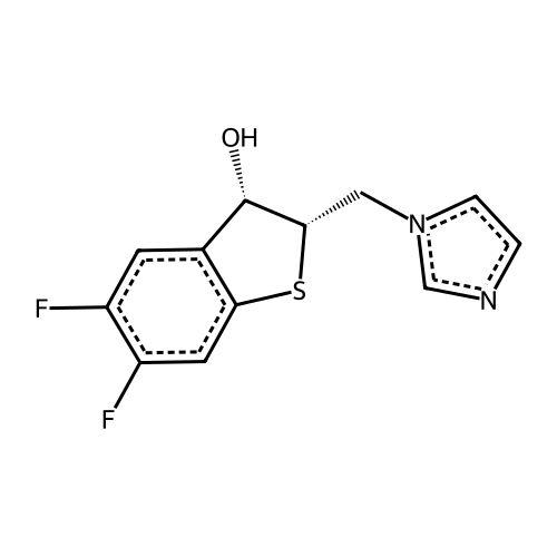 O[C@H]1c2cc(F)c(F)cc2S[C@H]1Cn1ccnc1